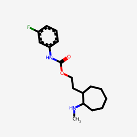 CNC1CCCCCC1CCOC(=O)Nc1cccc(F)c1